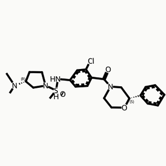 CN(C)[C@@H]1CCN([SH](C)(=O)Nc2ccc(C(=O)N3CCO[C@@H](c4ccccc4)C3)c(Cl)c2)C1